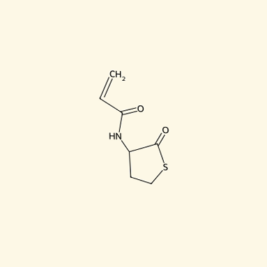 C=CC(=O)NC1CCSC1=O